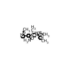 CCOc1ncccc1-c1ccc(N2CCN(C(=O)c3ccc(C)nc3N(C)C)C[C@H]2CC)c(C(N)=O)c1